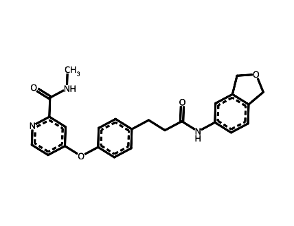 CNC(=O)c1cc(Oc2ccc(CCC(=O)Nc3ccc4c(c3)COC4)cc2)ccn1